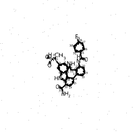 CN(c1ccc2c(c1)[nH]c1c(C(N)=O)ccc(-c3cccc(NC(=O)c4ccc(F)cc4)c3CN)c12)[SH](=O)=O